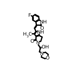 Cc1c(C=C2C(=O)Nc3ccc(F)cc32)[nH]c2c1C(=O)N(C[C@H](O)CN1CCOCC1)CC2